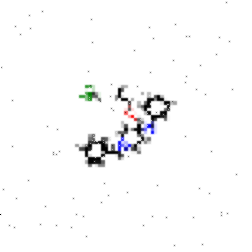 CCCOCC1(Nc2ccccc2)CCN(Cc2ccccc2)CC1.Cl.Cl